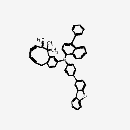 C=C1/C=C\C=C/Cc2ccc(N(c3ccc(-c4ccc5oc6ccccc6c5c4)cc3)c3ccc(-c4ccccc4)c4ccccc34)cc2C1(C)C